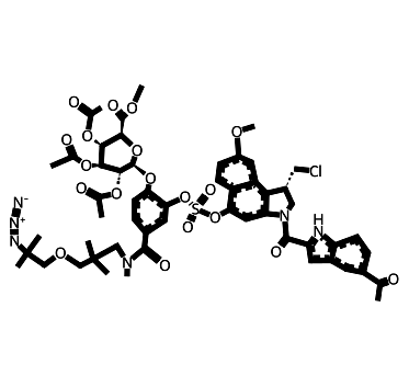 COC(=O)[C@H]1O[C@@H](Oc2ccc(C(=O)N(C)CC(C)(C)COCC(C)(C)N=[N+]=[N-])cc2OS(=O)(=O)Oc2cc3c(c4cc(OC)ccc24)[C@H](CCl)CN3C(=O)c2cc3cc(C(C)=O)ccc3[nH]2)[C@H](OC(C)=O)[C@@H](OC(C)=O)[C@@H]1OC(C)=O